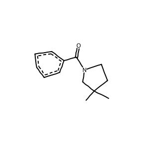 CC1(C)CCN(C(=O)c2ccccc2)C1